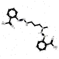 CN(CCCN/N=N/c1ccccc1C(=O)O)/N=N/c1ccccc1C(=O)O